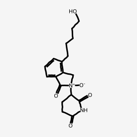 O=C1CCC([N+]2([O-])Cc3c(CCCCCO)cccc3C2=O)C(=O)N1